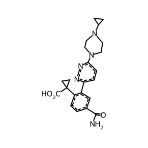 NC(=O)c1ccc(C2(C(=O)O)CC2)c(-c2ccc(N3CCN(C4CC4)CC3)nn2)c1